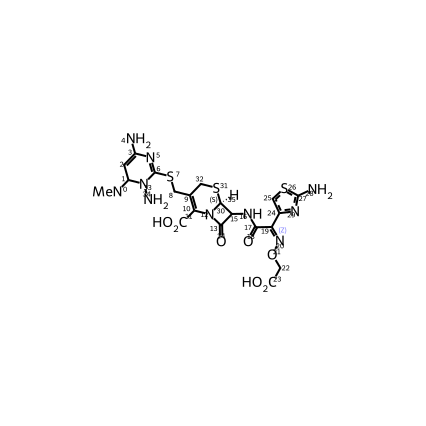 CNC1C=C(N)N=C(SCC2=C(C(=O)O)N3C(=O)C(NC(=O)/C(=N\OCC(=O)O)c4csc(N)n4)[C@@H]3SC2)N1N